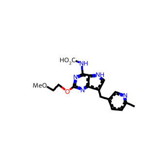 COCCOc1nc(NC(=O)O)c2[nH]cc(Cc3ccc(C)nc3)c2n1